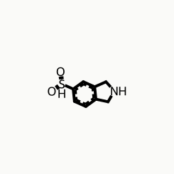 O=[SH](=O)c1ccc2c(c1)CNC2